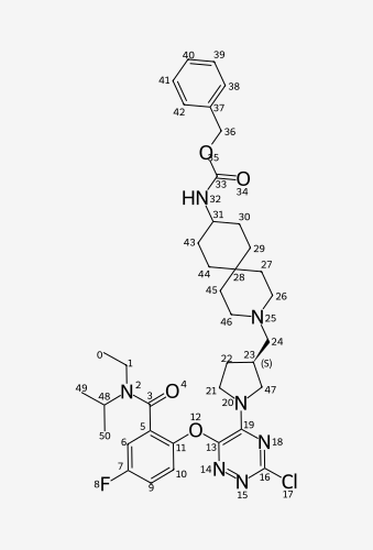 CCN(C(=O)c1cc(F)ccc1Oc1nnc(Cl)nc1N1CC[C@@H](CN2CCC3(CCC(NC(=O)OCc4ccccc4)CC3)CC2)C1)C(C)C